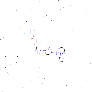 NCC(=O)NCc1cnc(-c2ccc(NCC3(c4ncccc4F)CCC3)nn2)s1